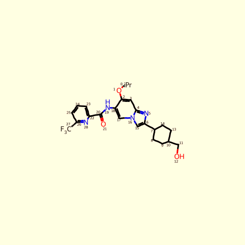 CC(C)Oc1cc2nc(C3CCC(CO)CC3)cn2cc1NC(=O)c1cccc(C(F)(F)F)n1